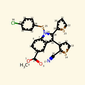 COC(=O)c1ccc2c(c1)c(-c1ccsc1C#N)c(-c1cccs1)n2Sc1ccc(Cl)cc1